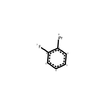 [CH2]C(C)c1ccccc1F